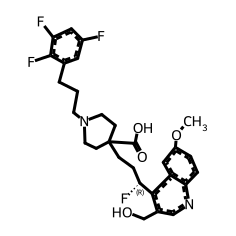 COc1ccc2ncc(CO)c([C@H](F)CCC3(C(=O)O)CCN(CCCc4cc(F)cc(F)c4F)CC3)c2c1